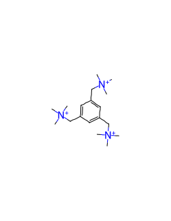 C[N+](C)(C)Cc1cc(C[N+](C)(C)C)cc(C[N+](C)(C)C)c1